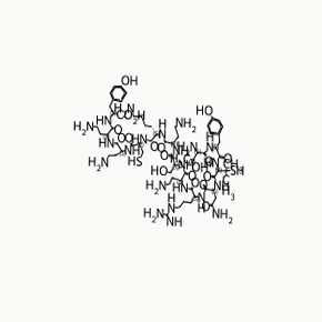 C[C@@H](O)[C@H](N)C(=O)N[C@@H](Cc1ccc(O)cc1)C(=O)N[C@H](C(=O)N[C@@H](CC(N)=O)C(=O)N[C@@H](CCCNC(=N)N)C(=O)N[C@@H](CCN)C(=O)N[C@@H](CO)C(=O)N[C@H](CCN)C(=O)N[C@@H](CCCCN)C(=O)N[C@@H](CS)C(=O)N[C@@H](CCN)C(=O)N[C@@H](CCN)C(=O)N[C@@H](Cc1ccc(O)cc1)C(=O)O)C(C)(C)S